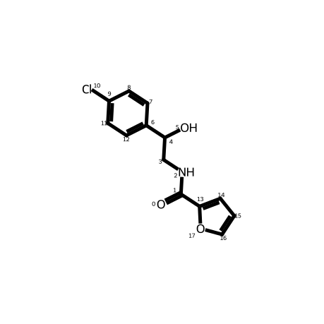 O=C(NCC(O)c1ccc(Cl)cc1)c1ccco1